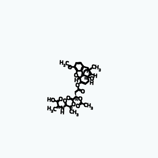 COc1ccc2c3c1O[C@H]1C(OC(=O)C[C@H](OC(C)=O)C(=O)O[C@@H](C)C(=O)N[C@@H](C)C(=O)O)=CC[C@@]4(O)[C@@H](C2)N(C)CC[C@]314